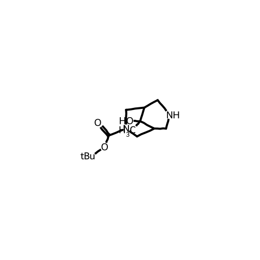 CC(C)(C)OC(=O)N1CC2CNCC(C1)C2(C)O